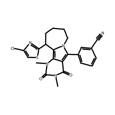 Cn1c(=O)c2c(-c3cccc(C#N)c3)n3c(c2n(C)c1=O)C(c1nc(Cl)cs1)CCCC3